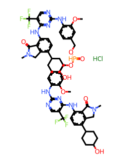 COc1cc(CO[PH](=O)OCc2ccc(Nc3ncc(C(F)(F)F)c(Nc4ccc(C5CCC(O)CC5)c5c4C(=O)N(C)C5)n3)c(OC)c2)ccc1Nc1ncc(C(F)(F)F)c(Nc2ccc(C3CCC(O)CC3)c3c2C(=O)N(C)C3)n1.Cl